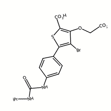 CC(C)NC(=O)Nc1ccc(-c2sc(C(=O)O)c(OCC(=O)O)c2Br)cc1